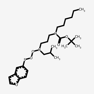 CCCCCCN(CCCN(CC(C)C)OOSc1ccc2occc2c1)C(=O)OC(C)(C)C